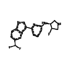 FC(F)c1ccc2ncc(-c3cccc(N[C@H]4CNCC4F)n3)n2c1